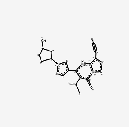 CC(C)c1c(-c2cnn([C@H]3CC[C@@H](O)C3)c2)[nH]c2c(C#N)cnn2c1=O